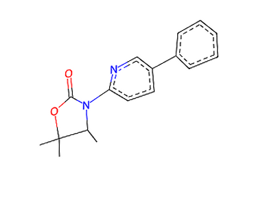 CC1N(c2ccc(-c3ccccc3)cn2)C(=O)OC1(C)C